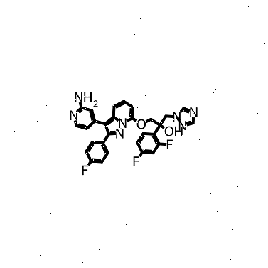 Nc1cc(-c2c(-c3ccc(F)cc3)nn3c(OCC(O)(Cn4cncn4)c4ccc(F)cc4F)cccc23)ccn1